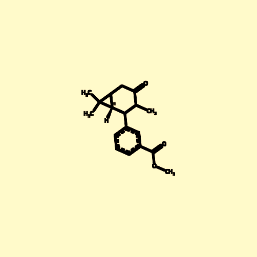 COC(=O)c1cccc(C2C(C)C(=O)CC3[C@H]2C3(C)C)c1